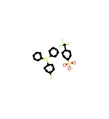 Fc1ccc([S+](c2ccccc2)c2ccccc2)cc1.O=S(=O)([O-])c1ccc(C(F)(F)F)cc1